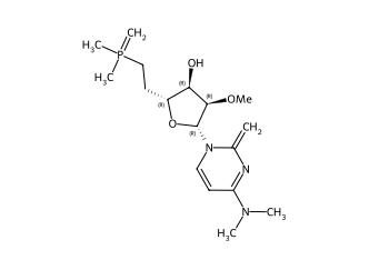 C=C1N=C(N(C)C)C=CN1[C@@H]1O[C@H](CCP(=C)(C)C)[C@@H](O)[C@H]1OC